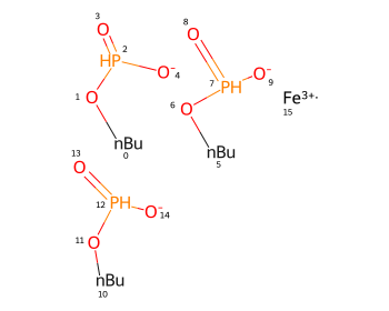 CCCCO[PH](=O)[O-].CCCCO[PH](=O)[O-].CCCCO[PH](=O)[O-].[Fe+3]